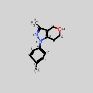 CC(=O)c1ccc(-n2nc(C(F)(F)F)c3c2CCOC3)cc1